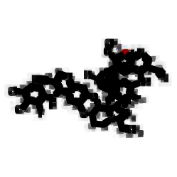 C=CC(=O)N1C[C@H]2C[C@@H](C1)[C@H]2Oc1cc2c(Nc3ccc(C[C@@]4(C(C)C)C[C@@H](Oc5cc6c(Nc7ccc(Cl)c(Cl)c7F)c(C#N)cnc6cc5OC)CCN4C(=O)C=C)c(Cl)c3F)c(C#N)cnc2cc1OC